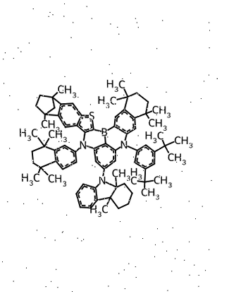 CC(C)(C)c1cc(N2c3cc4c(cc3B3c5sc6cc7c(cc6c5N(c5ccc6c(c5)C(C)(C)CCC6(C)C)c5cc(N6c8ccccc8C8(C)CCCCC68C)cc2c53)C2(C)CCC7(C)C2)C(C)(C)CCC4(C)C)cc(C(C)(C)C)c1